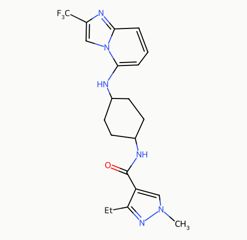 CCc1nn(C)cc1C(=O)NC1CCC(Nc2cccc3nc(C(F)(F)F)cn23)CC1